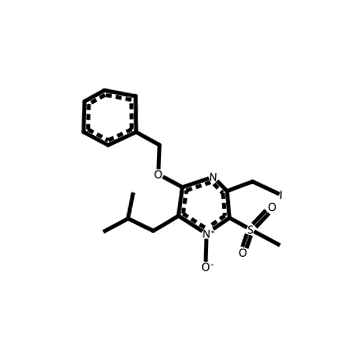 CC(C)Cc1c(OCc2ccccc2)nc(CI)c(S(C)(=O)=O)[n+]1[O-]